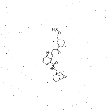 COCC1CCCN(C(=O)Cc2cn3c(C(=O)NCC45CCCC(C4)C4CC4C5)cccc3n2)C1